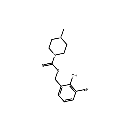 CCCc1c[c]cc(CSC(=S)N2CCN(C)CC2)c1O